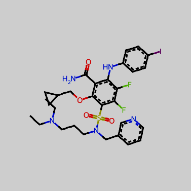 CCN(CC)CCCN(Cc1cccnc1)S(=O)(=O)c1c(F)c(F)c(Nc2ccc(I)cc2)c(C(N)=O)c1OCC1CC1